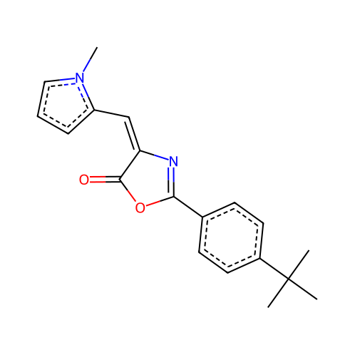 Cn1cccc1/C=C1/N=C(c2ccc(C(C)(C)C)cc2)OC1=O